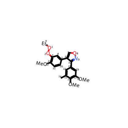 CCOOc1cc(-c2conc2-c2cc(C)c(OC)c(OC)c2)ccc1OC